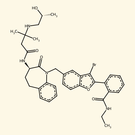 CCNC(=O)c1ccccc1-c1oc2ccc(CN3C(=O)[C@H](NC(=O)CC(C)(C)NC[C@@H](C)O)CCc4ccccc43)cc2c1Br